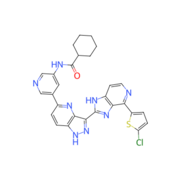 O=C(Nc1cncc(-c2ccc3[nH]nc(-c4nc5c(-c6ccc(Cl)s6)nccc5[nH]4)c3n2)c1)C1CCCCC1